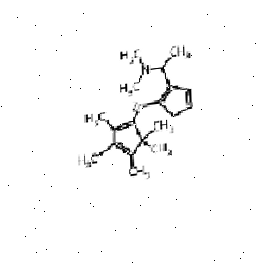 CC1=C(C)C(C)(C)[C]([Zr][C]2=C(C(C)N(C)C)C=CC2)=C1C